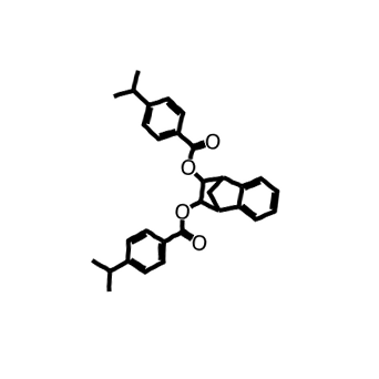 CC(C)c1ccc(C(=O)OC2C3CC(c4ccccc43)C2OC(=O)c2ccc(C(C)C)cc2)cc1